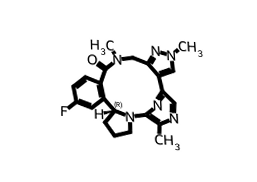 Cc1ncc2nc1N1CCC[C@@H]1c1cc(F)ccc1C(=O)N(C)Cc1nn(C)cc1-2